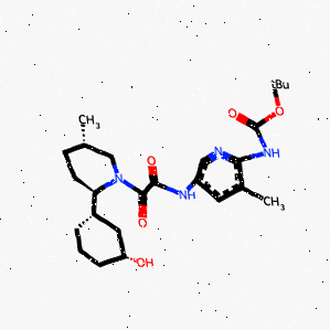 Cc1cc(NC(=O)C(=O)N2C[C@@H](C)CC[C@@H]2[C@H]2CCC[C@@H](O)C2)cnc1NC(=O)OC(C)(C)C